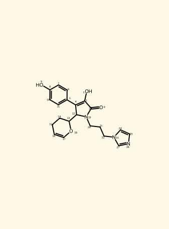 O=C1C(O)=C(c2ccc(O)cc2)C(C2CCC=CO2)N1CCCn1ccnc1